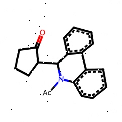 CC(=O)N1c2ccccc2-c2ccccc2C1C1CCCC1=O